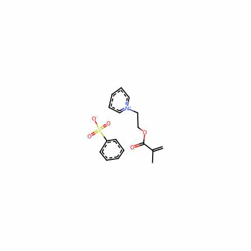 C=C(C)C(=O)OCC[n+]1ccccc1.O=S(=O)([O-])c1ccccc1